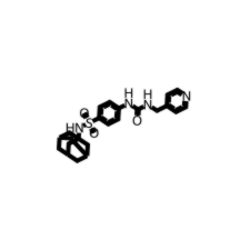 O=C(NCc1ccncc1)Nc1ccc(S(=O)(=O)NC23CC4CC(CC(C4)C2)C3)cc1